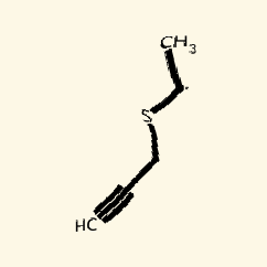 C#CCS[CH]C